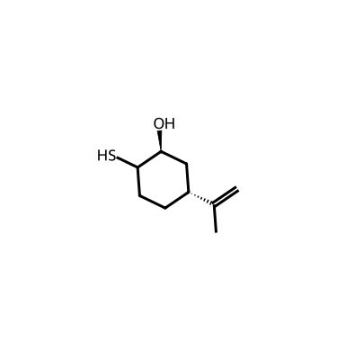 C=C(C)[C@@H]1CCC(S)[C@@H](O)C1